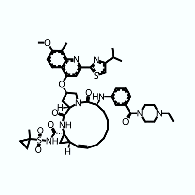 CCN1CCN(C(=O)c2cccc(N[C@H]3CCCCC/C=C\[C@@H]4C[C@@]4(C(=O)NS(=O)(=O)C4(C)CC4)NC(=O)[C@@H]4C[C@@H](Oc5cc(-c6nc(C(C)C)cs6)nc6c(C)c(OC)ccc56)CN4C3=O)c2)CC1